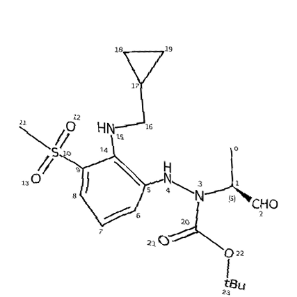 C[C@@H](C=O)N(Nc1cccc(S(C)(=O)=O)c1NCC1CC1)C(=O)OC(C)(C)C